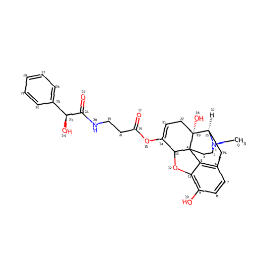 CN1CCC23c4c5ccc(O)c4OC2C(OC(=O)CCNC(=O)[C@@H](O)c2ccccc2)=CC[C@@]3(O)[C@H]1C5